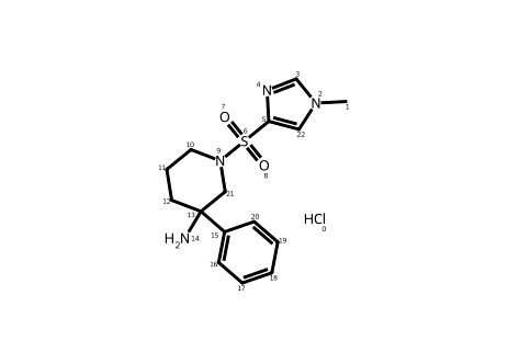 Cl.Cn1cnc(S(=O)(=O)N2CCCC(N)(c3ccccc3)C2)c1